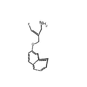 NCC(=CF)COc1ccc2ccccc2c1